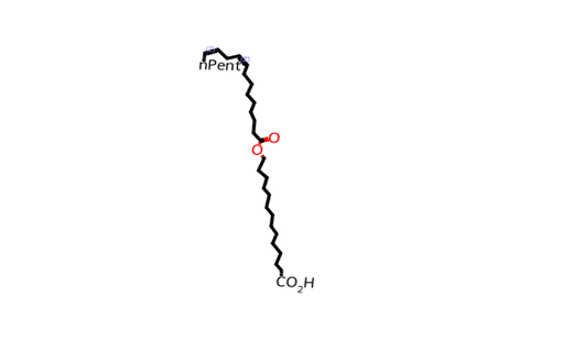 CCCCC/C=C\C/C=C\CCCCCCCC(=O)OCCCCCCCCCCCCCC(=O)O